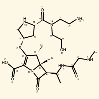 CNCC(=O)NC(C)[C@H]1C(=O)N2C(C(=O)O)=C(S[C@@H]3CN[C@H](C(=O)N(CCN)CCO)C3)[C@H](C)[C@H]12